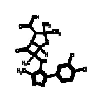 Cc1onc(-c2ccc(Cl)c(Cl)c2)c1N[C@@]1(C)C(=O)N2[C@@H](C(=O)O)C(C)(C)S[C@@H]21